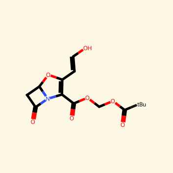 CC(C)(C)C(=O)OCOC(=O)C1=C(C=CO)OC2CC(=O)N12